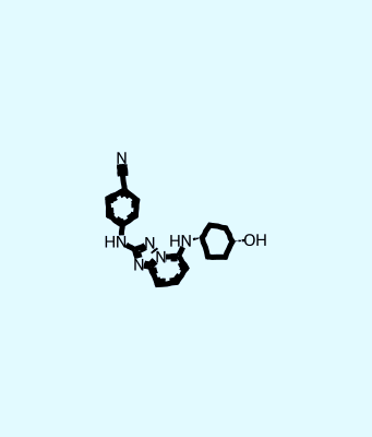 N#Cc1ccc(Nc2nc3cccc(N[C@H]4CC[C@@H](O)CC4)n3n2)cc1